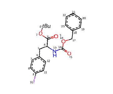 CC(C)(C)OC(=O)C(Cc1ccc(I)cc1)NC(=O)OCc1ccccc1